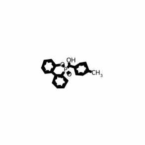 Cc1ccc(C(O)P2(=O)Oc3ccccc3-c3ccccc32)cc1